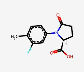 Cc1ccc(N2C(=O)CC[C@H]2C(=O)O)cc1F